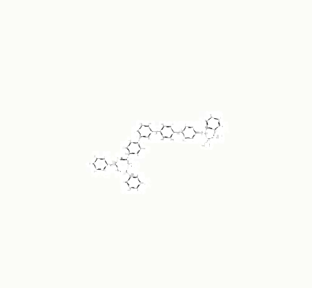 CCC1Nc2ccccc2N1c1ccc(-c2ccc(-c3cccc(-c4ccc(C5=NC(c6ccccc6)=NC(c6ccccc6)N5)cc4)c3)cc2)cc1